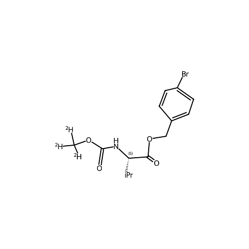 [2H]C([2H])([2H])OC(=O)N[C@H](C(=O)OCc1ccc(Br)cc1)C(C)C